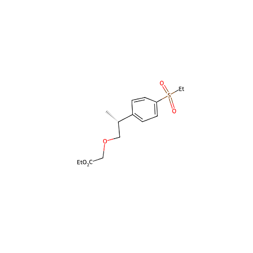 CCOC(=O)COC[C@H](C)c1ccc(S(=O)(=O)CC)cc1